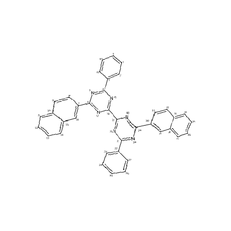 c1ccc(-c2nc(-c3ccc4ccccc4c3)nc(-c3nc(-c4ccccc4)nc(-c4ccc5ccccc5c4)n3)n2)cc1